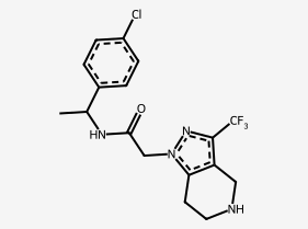 CC(NC(=O)Cn1nc(C(F)(F)F)c2c1CCNC2)c1ccc(Cl)cc1